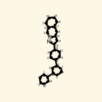 c1ccc(-c2cccc(-c3ccc(-c4cc5cc6ccccc6cn5n4)cc3)c2)cc1